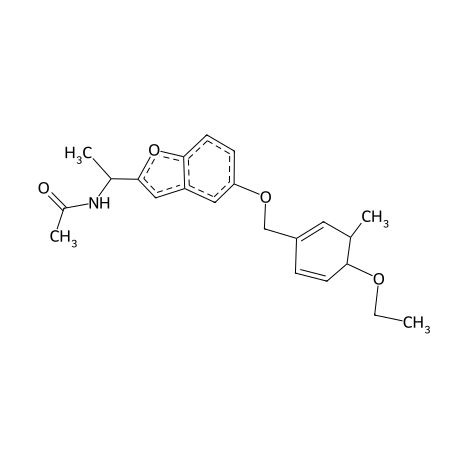 CCOC1C=CC(COc2ccc3oc(C(C)NC(C)=O)cc3c2)=CC1C